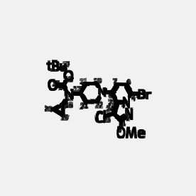 COc1nn2c(Br)ccc(N3CCC(N(C(=O)OC(C)(C)C)C4CC4)CC3)c2c1Cl